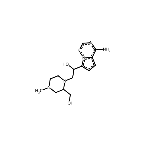 CN1CCN(CC(O)c2ccc3c(N)ncnn23)C(CO)C1